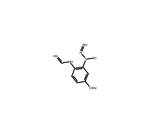 CCN(N=N)c1cc(OC)ccc1NC=N